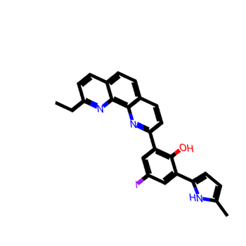 CCc1ccc2ccc3ccc(-c4cc(I)cc(-c5ccc(C)[nH]5)c4O)nc3c2n1